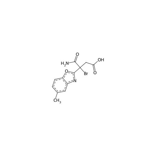 Cc1ccc2oc(C(Br)(CC(=O)O)C(N)=O)nc2c1